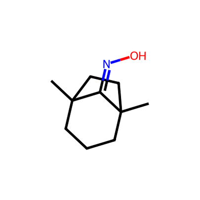 CC12CCCC(C)(CC1)C2=NO